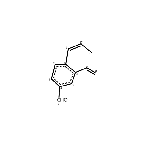 C=Cc1cc(C=O)ccc1/C=C\C